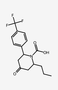 CCCC1CC(=O)CC(c2ccc(C(F)(F)F)cc2)N1C(=O)O